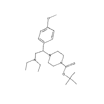 CCN(CC)CC(c1ccc(OC)cc1)N1CCN(C(=O)OC(C)(C)C)CC1